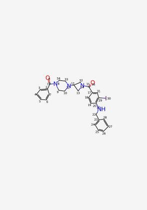 O=C(c1ccccc1)N1CCN(C2CN(C(=O)c3ccc(NCc4ccccc4)c(I)c3)C2)CC1